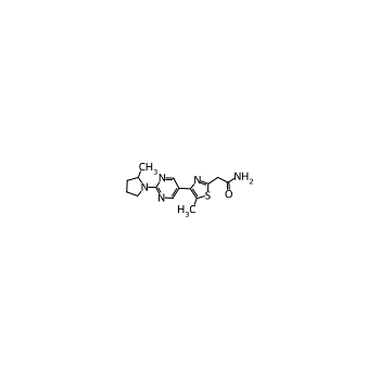 Cc1sc(CC(N)=O)nc1-c1cnc(N2CCCC2C)nc1